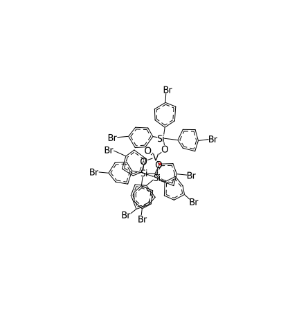 [O]=[V]([O][Si](c1ccc(Br)cc1)(c1ccc(Br)cc1)c1ccc(Br)cc1)([O][Si](c1ccc(Br)cc1)(c1ccc(Br)cc1)c1ccc(Br)cc1)[O][Si](c1ccc(Br)cc1)(c1ccc(Br)cc1)c1ccc(Br)cc1